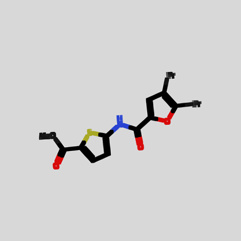 COC(=O)c1ccc(NC(=O)c2cc(C(C)C)c(C(C)C)o2)s1